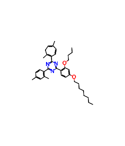 CCCCCCCCOc1ccc(-c2nc(C3=C(C)CC=C(C)C=C3)nc(-c3ccc(C)cc3C)n2)c(OCCCC)c1